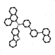 c1cc(-c2cccc(N(c3ccc4c(c3)sc3ccccc34)c3cc4ccccc4c4ccccc34)c2)cc(-c2cccc3ccccc23)c1